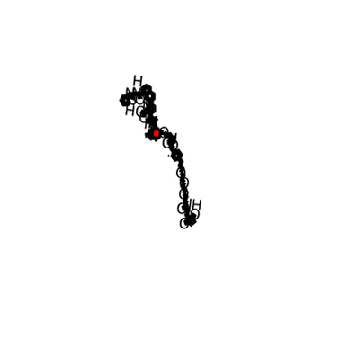 Cc1c(-c2ccc(N3CCc4cccc(C(=O)Nc5nc6ccccc6s5)c4C3)nc2C(=O)O)cnn1CC12CC3(C)CC(C)(C1)CC(OCCN(C)C(=O)OCc1[c]cc(CCCOCCOCCOCCNC(=O)CCN4C(=O)C=CC4=O)cc1)(C3)C2